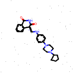 O=C1NC(=O)c2ccccc2/C1=C/Nc1ccc(N2CCN(C3CCCC3)CC2)cc1